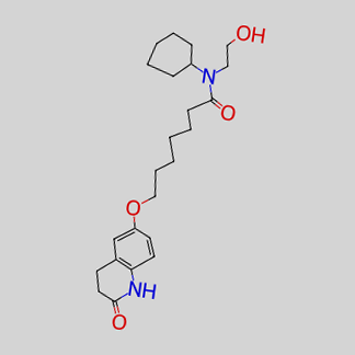 O=C1CCc2cc(OCCCCCCC(=O)N(CCO)C3CCCCC3)ccc2N1